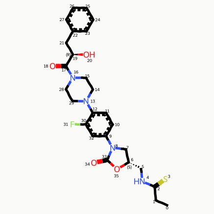 CCC(=S)NC[C@H]1CN(c2ccc(N3CCN(C(=O)[C@H](O)Cc4ccccc4)CC3)c(F)c2)C(=O)O1